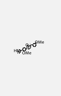 COc1cccc([C@@H](C)N2CCN(c3ccc(-c4cn[nH]c4)c(OC)c3)C2=O)c1